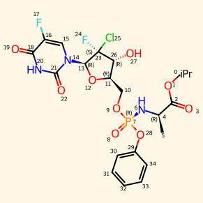 CC(C)OC(=O)[C@@H](C)N[P@@](=O)(OC[C@H]1O[C@@H](n2cc(F)c(=O)[nH]c2=O)[C@@](F)(Cl)[C@@H]1O)Oc1ccccc1